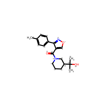 Cc1ccc(-c2nocc2C(=O)N2CCCC(C(C)(C)O)C2)cc1